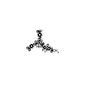 CC(=O)S[C@H]1C[C@@H](C(=O)N2CC[C@H](NC(=O)CN/C(=N\C(=O)OCc3ccc([N+](=O)[O-])cc3)NC(=O)OCc3ccc([N+](=O)[O-])cc3)C2)N(C)C1